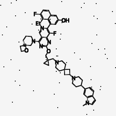 CCc1c(F)ccc2cc(O)cc(-c3ncc4c(N5CCC[C@]6(CCO6)C5)nc(OCC5(CN6CCC7(CC6)CC(N6CCC(c8ccc9ccn(C)c9c8)CC6)C7)CC5)nc4c3F)c12